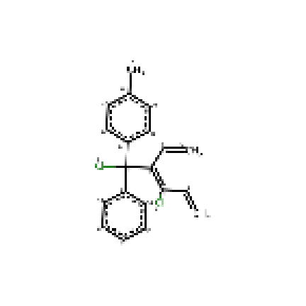 C=C/C(Cl)=C(\C=C)C(Cl)(c1ccccc1)c1ccc(C)cc1